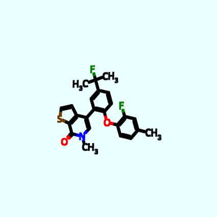 Cc1ccc(Oc2ccc(C(C)(C)F)cc2-c2cn(C)c(=O)c3sccc23)c(F)c1